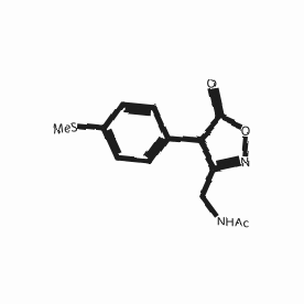 CSc1ccc(C2C(=O)ON=C2CNC(C)=O)cc1